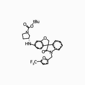 CC(C)(C)OC(=O)N1CC[C@@H](Nc2ccc3c(c2)OCC32C(=O)N(Cc3ccc(C(F)(F)F)o3)c3ccccc32)C1